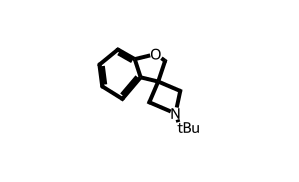 CC(C)(C)N1CC2(COc3ccccc32)C1